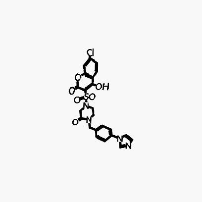 O=C1CN(S(=O)(=O)c2c(O)c3ccc(Cl)cc3oc2=O)CCN1Cc1ccc(-n2ccnc2)cc1